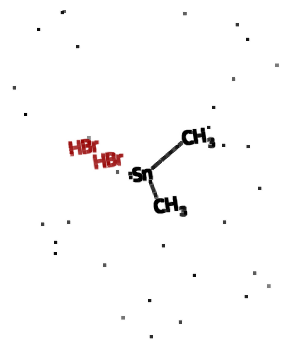 Br.Br.[CH3][Sn][CH3]